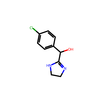 OC(C1=NCCN1)c1ccc(Cl)cc1